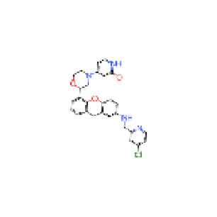 O=c1cc(N2CCOC(c3cccc4c3Oc3ccc(NCc5cc(Cl)ccn5)cc3C4)C2)cc[nH]1